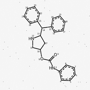 O=C(Nc1ccccc1)OC1CNC(C(c2ccccc2)c2ccccc2)C1